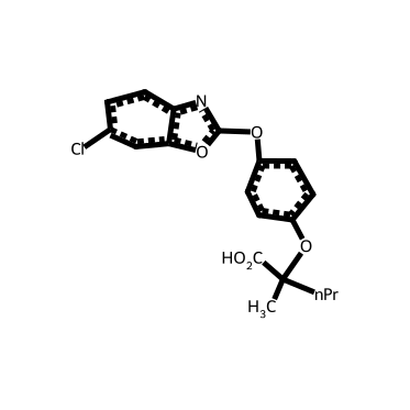 CCCC(C)(Oc1ccc(Oc2nc3ccc(Cl)cc3o2)cc1)C(=O)O